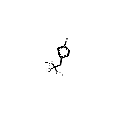 [CH2]C(C)(O)Cc1ccc(F)cc1